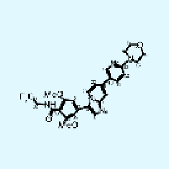 COc1cc(-c2cnc3cc(-c4ccc(N5CCOCC5)nc4)ccn23)cc(OC)c1C(=O)NCC(F)(F)F